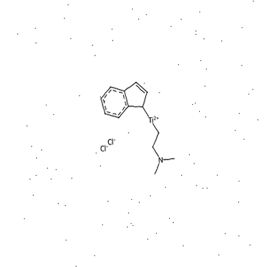 CN(C)C[CH2][Ti+2][CH]1C=Cc2ccccc21.[Cl-].[Cl-]